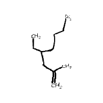 C=C(C)CC(CC)CCCC